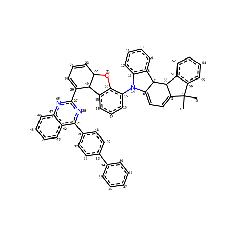 CC1(C)C2=CC=C3C(c4ccccc4N3c3cccc4c3OC3C=CC=C(c5nc(-c6ccc(-c7ccccc7)cc6)c6ccccc6n5)C43)C2c2ccccc21